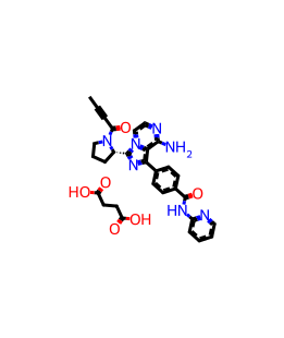 CC#CC(=O)N1CCC[C@H]1c1nc(-c2ccc(C(=O)Nc3ccccn3)cc2)c2c(N)nccn12.O=C(O)CCC(=O)O